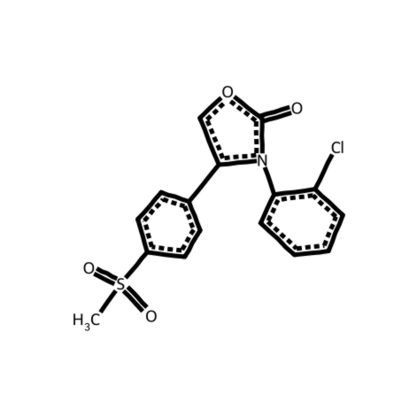 CS(=O)(=O)c1ccc(-c2coc(=O)n2-c2ccccc2Cl)cc1